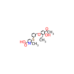 CCCc1c(OCc2cccc(Sc3ccc(C(=O)O)nc3C)c2)ccc(C(C)=O)c1O